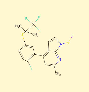 Cc1cc(-c2cc(SC(C)(C)C(F)(F)F)ccc2F)c2ccn(SI)c2n1